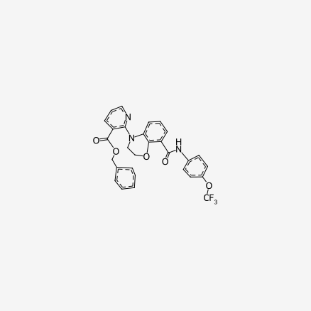 O=C(OCc1ccccc1)c1cccnc1N1CCOc2c(C(=O)Nc3ccc(OC(F)(F)F)cc3)cccc21